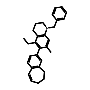 CCc1c2c(cc(C)c1-c1ccc3c(c1)CCCC=C3)N(Cc1ccccc1)CCC2